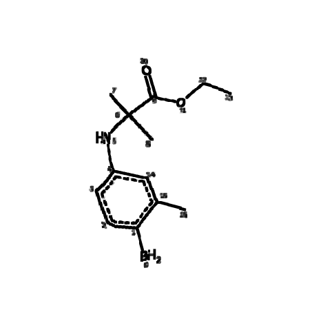 Bc1ccc(NC(C)(C)C(=O)OCC)cc1C